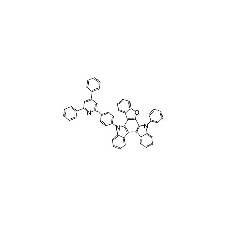 c1ccc(-c2cc(-c3ccccc3)nc(-c3ccc(-n4c5ccccc5c5c6c7ccccc7n(-c7ccccc7)c6c6oc7ccccc7c6c54)cc3)c2)cc1